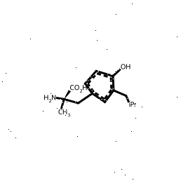 CC(C)Cc1cc(C[C@](C)(N)C(=O)O)ccc1O